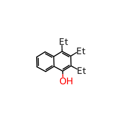 CCc1c(CC)c(CC)c2ccccc2c1O